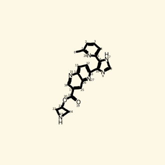 Cc1cccc(-c2[nH]cnc2-c2ccc3ncc(C(=O)OC4CNC4)cc3n2)n1